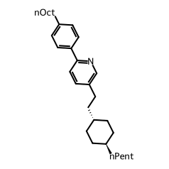 CCCCCCCCc1ccc(-c2ccc(CC[C@H]3CC[C@H](CCCCC)CC3)cn2)cc1